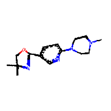 CN1CCN(c2ccc(C3=NC(C)(C)CO3)cn2)CC1